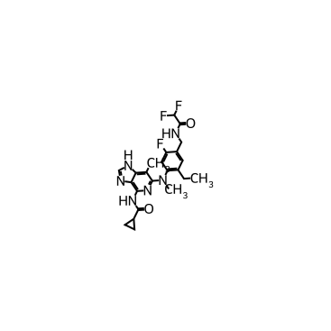 CCc1cc(CNC(=O)C(F)F)c(F)cc1N(C)c1nc(NC(=O)C2CC2)c2nc[nH]c2c1C